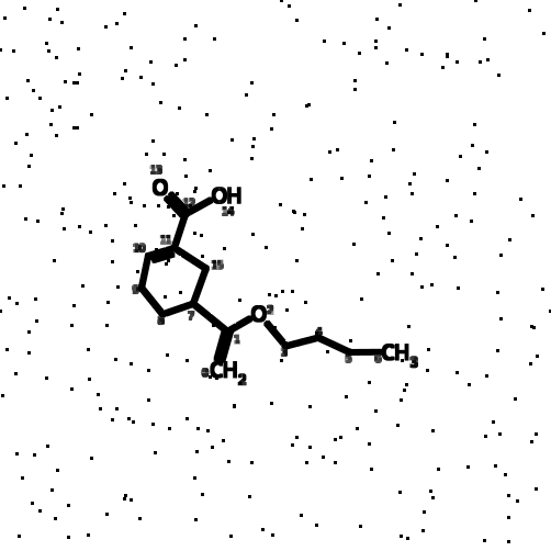 C=C(OCCCC)C1CCC=C(C(=O)O)C1